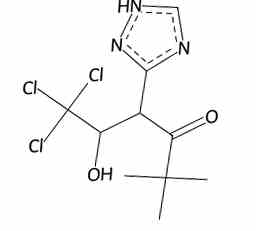 CC(C)(C)C(=O)C(c1nc[nH]n1)C(O)C(Cl)(Cl)Cl